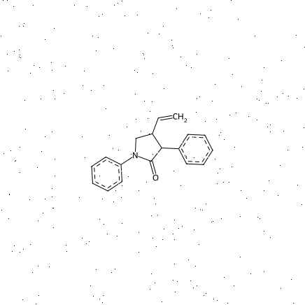 C=CC1CN(c2ccccc2)C(=O)C1c1ccccc1